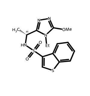 CCn1c(OC)nnc1[C@@H](C)NS(=O)(=O)c1csc2ccccc12